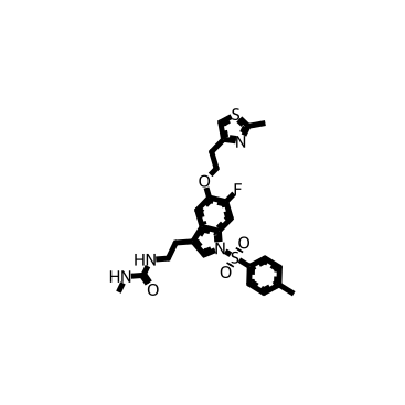 CNC(=O)NCCc1cn(S(=O)(=O)c2ccc(C)cc2)c2cc(F)c(OCCc3csc(C)n3)cc12